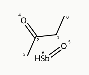 CCC(C)=O.[O]=[SbH]